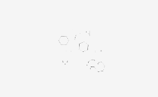 COCc1nc2ccccn2c1C(O)c1ccc2c(c1)COc1cc(F)ccc1C2=C(C#N)C1CC1